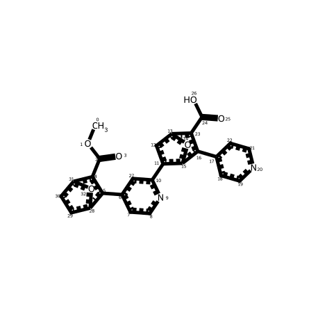 COC(=O)c1c(-c2ccnc(-c3cc4oc3c(-c3ccncc3)c4C(=O)O)c2)c2ccc1o2